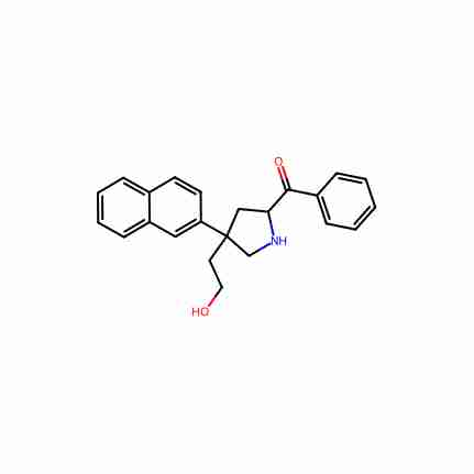 O=C(c1ccccc1)C1CC(CCO)(c2ccc3ccccc3c2)CN1